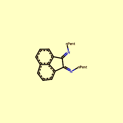 CCCCC/N=C1\C(=N\CCCCC)c2cccc3cccc1c23